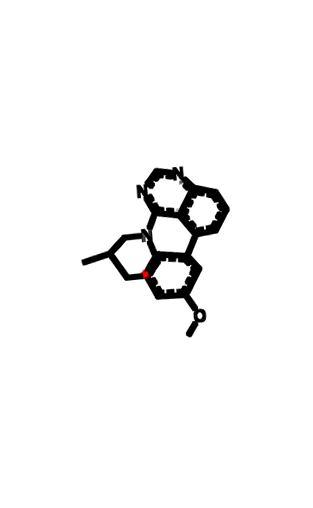 COc1cccc(-c2cccc3ncnc(N4CCCC(C)C4)c23)c1